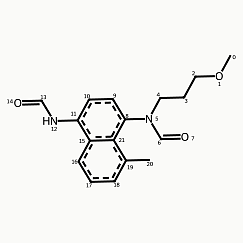 COCCCN(C=O)c1ccc(NC=O)c2cccc(C)c12